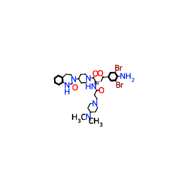 CN(C)C1CCN(CCC(=O)N[C@@H](CC(=O)c2cc(Br)c(N)c(Br)c2)C(=O)N2CCC(N3CCc4ccccc4NC3=O)CC2)CC1